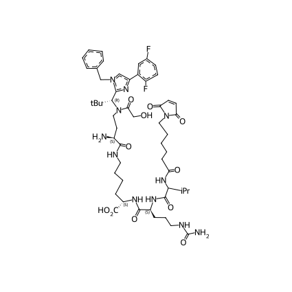 CC(C)C(NC(=O)CCCCCN1C(=O)C=CC1=O)C(=O)N[C@@H](CCCNC(N)=O)C(=O)N[C@@H](CCCCNC(=O)[C@@H](N)CCN(C(=O)CO)[C@@H](c1nc(-c2cc(F)ccc2F)cn1Cc1ccccc1)C(C)(C)C)C(=O)O